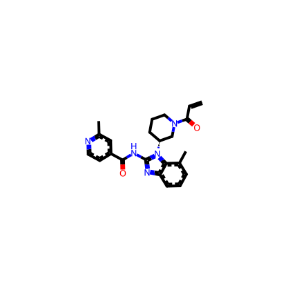 C=CC(=O)N1CCC[C@@H](n2c(NC(=O)c3ccnc(C)c3)nc3cccc(C)c32)C1